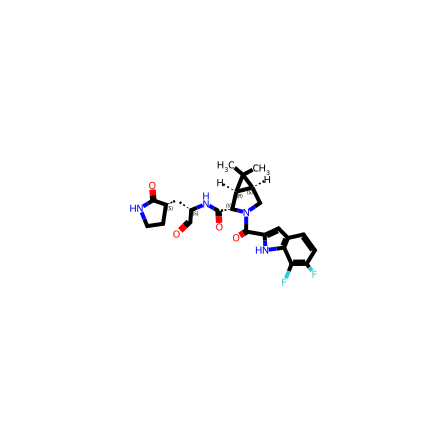 CC1(C)[C@@H]2[C@@H](C(=O)N[C@H](C=O)C[C@@H]3CCNC3=O)N(C(=O)c3cc4ccc(F)c(F)c4[nH]3)C[C@@H]21